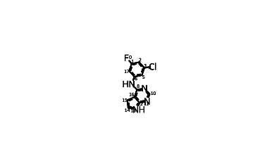 Fc1cc(Cl)cc(Nc2ncnc3[nH]ccc23)c1